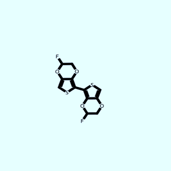 FC1COc2c(csc2-c2scc3c2OC(F)CO3)O1